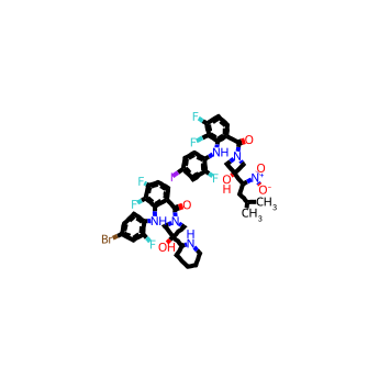 CC(C)CC([N+](=O)[O-])C1(O)CN(C(=O)c2ccc(F)c(F)c2Nc2ccc(I)cc2F)C1.O=C(c1ccc(F)c(F)c1Nc1ccc(Br)cc1F)N1CC(O)(C2CCCCN2)C1